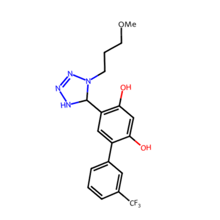 COCCCN1N=NNC1c1cc(-c2cccc(C(F)(F)F)c2)c(O)cc1O